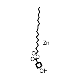 CCCCCCCCCCCCCCCCCC(=O)OC(=O)c1ccc(O)cc1.[Zn]